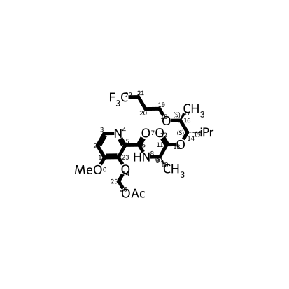 COc1ccnc(C(=O)N[C@@H](C)C(=O)O[C@@H](C(C)C)[C@H](C)OCCCC(F)(F)F)c1OCOC(C)=O